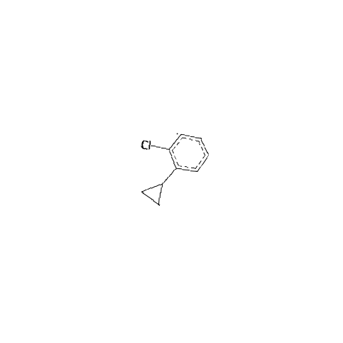 Clc1[c]cccc1C1CC1